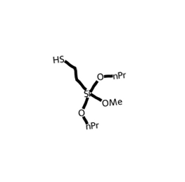 CCCO[Si](CCS)(OC)OCCC